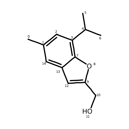 Cc1cc(C(C)C)c2oc(CO)cc2c1